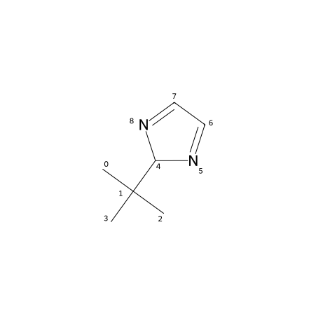 CC(C)(C)C1N=CC=N1